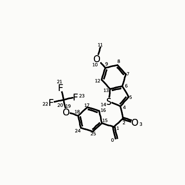 C=C(C(=O)c1cc2ccc(OC)cc2s1)c1ccc(OC(F)(F)F)cc1